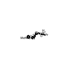 CNc1ccc(Oc2ccnc3cc(-c4cnn(CCOC(=O)C(N)CC(C)C)c4)sc23)c(F)c1